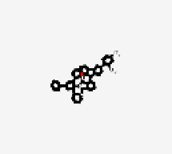 O=C1c2cccc(C3c4ccccc4-c4cc(-c5ccc(C(F)(F)F)cc5C(F)(F)F)ccc43)c2C(=O)N1c1c(-c2ccccc2)cc(-c2ccccc2)cc1-c1ccccc1